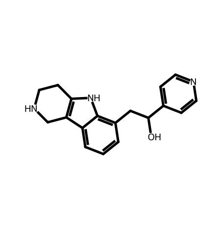 OC(Cc1cccc2c3c([nH]c12)CCNC3)c1ccncc1